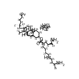 CC(C)CCC[C@@H](C)[C@H]1CC[C@H]2[C@@H]3CC=C4C[C@@H](OC(=O)N(CCCCNCCC(C)N)CCC(C)N)CC[C@]4(C)[C@H]3CC[C@]12C.Cl.Cl.Cl